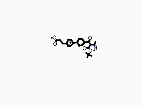 C/N=C(/C)C(C(=O)OC(C)(C)C)C(=O)c1ccc(C23CCC(CCC(=O)OC)(CC2)CO3)cc1